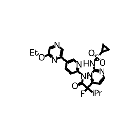 CCOc1cncc(-c2ccc(NC(=O)C(F)(c3ccnc(NS(=O)(=O)C4CC4)n3)C(C)C)nc2)n1